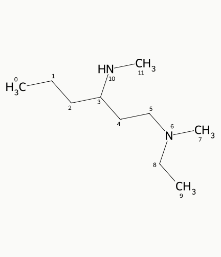 CCCC(CCN(C)CC)NC